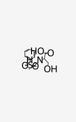 CS(=O)(=O)c1ccccc1.NC(CO)C(=O)O